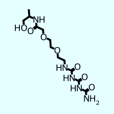 CC(CO)NC(=O)COCCOCCNC(=O)NC(=O)NC(N)=O